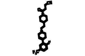 N#CCCC(=O)N1CCC(CCN2CC=C(c3cc(C(F)(F)F)ccc3F)CC2)CC1